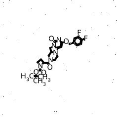 CC(C)(C)OC(=O)N1CCC1C(=O)N1CCN2c3cc(OCc4ccc(F)c(F)c4)nc(=O)n3CC2C1